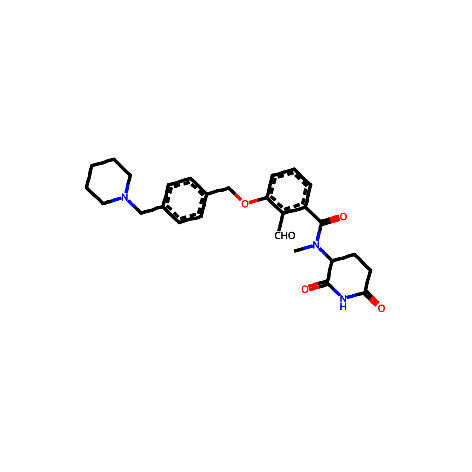 CN(C(=O)c1cccc(OCc2ccc(CN3CCCCC3)cc2)c1C=O)C1CCC(=O)NC1=O